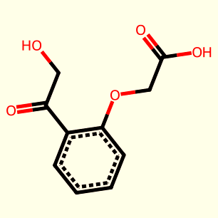 O=C(O)COc1ccccc1C(=O)CO